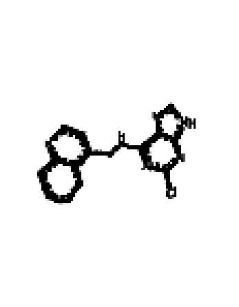 Clc1nc(NCc2ccnc3ccccc23)c2nc[nH]c2n1